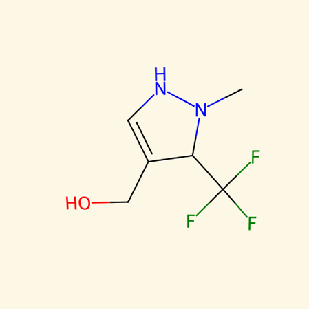 CN1NC=C(CO)C1C(F)(F)F